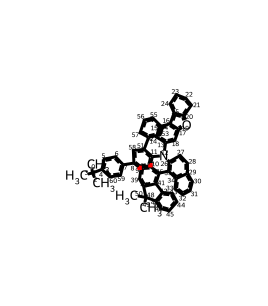 CC(C)(C)c1ccc(-c2ccc(N(c3ccc4c(c3)oc3ccccc34)c3ccc4ccccc4c3-c3cccc4c3-c3ccccc3C4(C)C)c(-c3ccccc3)c2)cc1